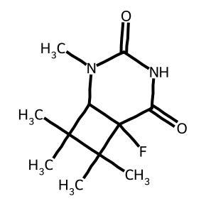 CN1C(=O)NC(=O)C2(F)C1C(C)(C)C2(C)C